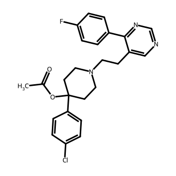 CC(=O)OC1(c2ccc(Cl)cc2)CCN(CCc2cncnc2-c2ccc(F)cc2)CC1